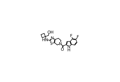 O=C(c1cc2c(F)c(F)ccc2[nH]1)N1CCc2nc(NC3(CO)CCC3)sc2C1